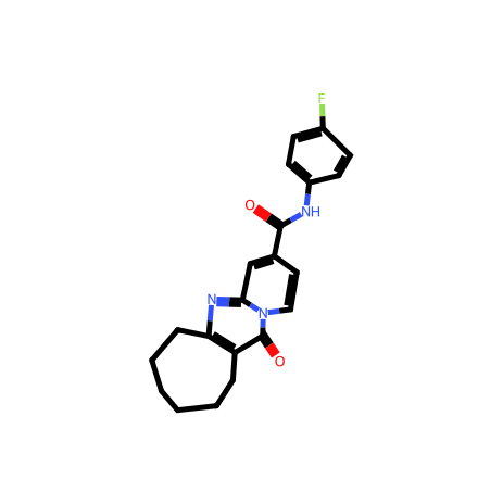 O=C(Nc1ccc(F)cc1)c1ccn2c(=O)c3c(nc2c1)CCCCCC3